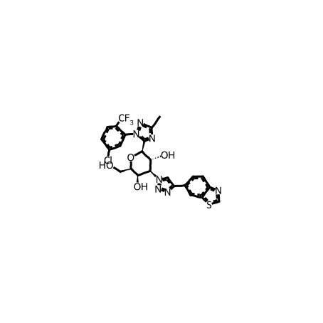 Cc1nc([C@@H]2O[C@H](CO)[C@H](O)[C@H](n3cc(-c4ccc5ncsc5c4)nn3)[C@H]2O)n(-c2cc(Cl)ccc2C(F)(F)F)n1